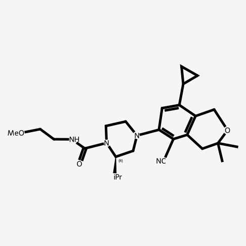 COCCNC(=O)N1CCN(c2cc(C3CC3)c3c(c2C#N)CC(C)(C)OC3)C[C@H]1C(C)C